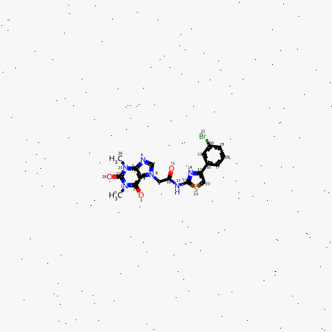 Cn1c(=O)c2c(ncn2CC(=O)Nc2nc(-c3cccc(Br)c3)cs2)n(C)c1=O